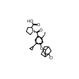 O=C(O)C1CCCN1C(=O)c1cc(C2CC2)c(OC2C3CC4CC2C(Cl)(C4)C3)cc1F